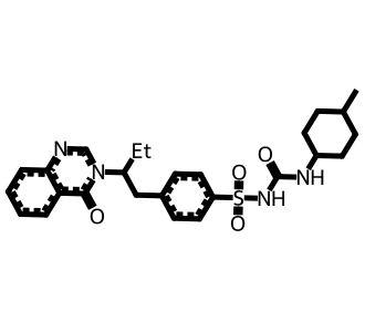 CCC(Cc1ccc(S(=O)(=O)NC(=O)NC2CCC(C)CC2)cc1)n1cnc2ccccc2c1=O